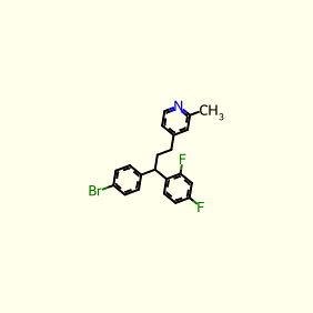 Cc1cc(CCC(c2ccc(Br)cc2)c2ccc(F)cc2F)ccn1